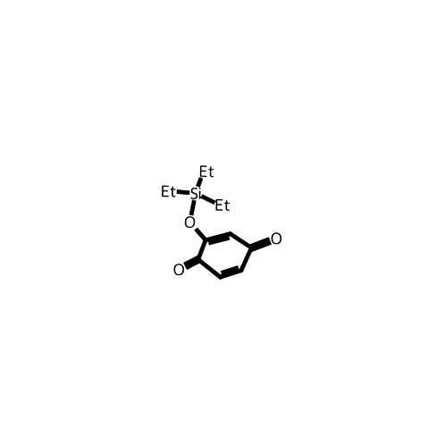 CC[Si](CC)(CC)OC1=CC(=O)C=CC1=O